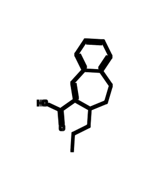 CCCC1CCc2ccccc2C=C1C(=O)O